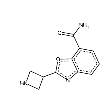 NC(=O)c1cccc2nc(C3CNC3)oc12